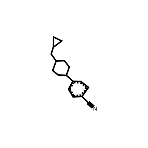 N#Cc1ccc(C2CCC(CC3CC3)CC2)cc1